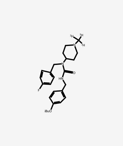 [2H]C([2H])([2H])N1CCC(N(Cc2ccc(F)cc2)C(=O)NCc2ccc(OCC(C)C)cc2)CC1